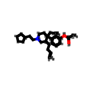 C=CCCC1CN(CCC2CCCC2)CCC1(CC)c1cccc(OC(C)=O)c1